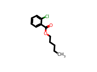 CCCCCOC(=O)c1ccccc1Cl